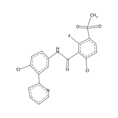 CS(=O)(=O)c1ccc(Cl)c(C(=O)Nc2ccc(Cl)c(-c3ccccn3)c2)c1F